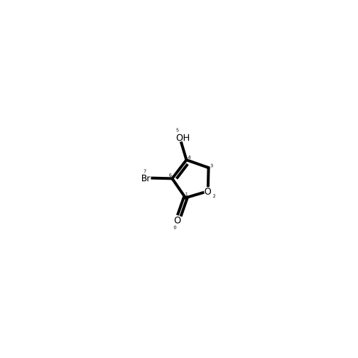 O=C1OCC(O)=C1Br